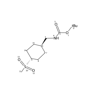 CC(C)(C)OC(=O)NC[C@H]1CC[C@H](S(C)(=O)=O)CC1